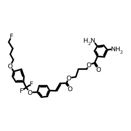 Nc1cc(N)cc(C(=O)OCCCOC(=O)C=Cc2ccc(OC(F)(F)c3ccc(OCCCCF)cc3)cc2)c1